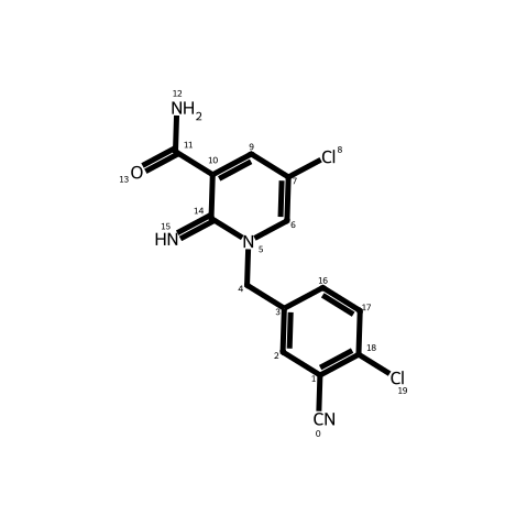 N#Cc1cc(Cn2cc(Cl)cc(C(N)=O)c2=N)ccc1Cl